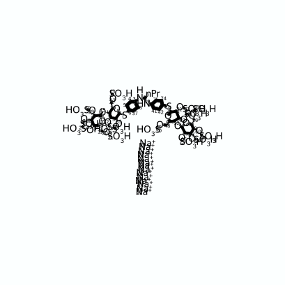 CCCC(Nc1ccc(S[C@@H]2O[C@H](COS(=O)(=O)O)[C@@H](O[C@H]3O[C@H](COS(=O)(=O)O)[C@@H](OS(=O)(=O)O)[C@H](OS(=O)(=O)O)[C@H]3OS(=O)(=O)O)[C@H](OS(=O)(=O)O)[C@H]2OS(=O)(=O)O)cc1)Nc1ccc(S[C@@H]2O[C@H](COS(=O)(=O)O)[C@@H](O[C@H]3O[C@H](COS(=O)(=O)O)[C@@H](OS(=O)(=O)O)[C@H](OS(=O)(=O)O)[C@H]3OS(=O)(=O)O)[C@H](OS(=O)(=O)O)[C@H]2OS(=O)(=O)O)cc1.[Na+].[Na+].[Na+].[Na+].[Na+].[Na+].[Na+].[Na+].[Na+].[Na+].[Na+].[Na+].[Na+].[Na+]